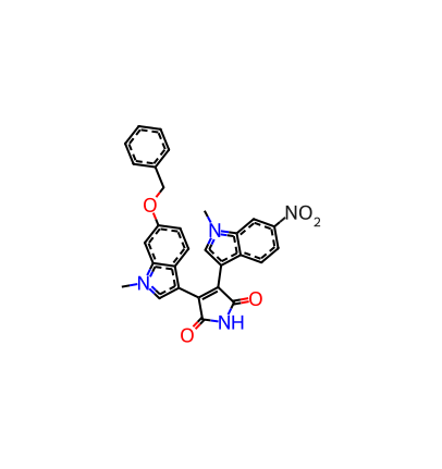 Cn1cc(C2=C(c3cn(C)c4cc([N+](=O)[O-])ccc34)C(=O)NC2=O)c2ccc(OCc3ccccc3)cc21